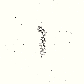 Fc1ccc(-c2ccc3cc(-c4ccc(-c5ccc6oc7ccccc7c6c5)nc4)ccc3c2)cc1